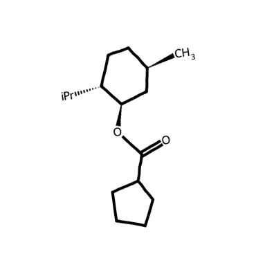 CC(C)[C@@H]1CC[C@@H](C)C[C@H]1OC(=O)C1CCCC1